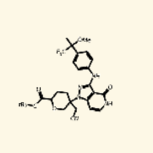 COC(C)(c1ccc(Nc2nn(C3(CC#N)CCC(C(=O)OC(C)(C)C)OC3)c3cc[nH]c(=O)c23)cc1)C(F)(F)F